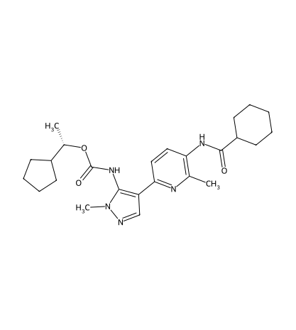 Cc1nc(-c2cnn(C)c2NC(=O)O[C@@H](C)C2CCCC2)ccc1NC(=O)C1CCCCC1